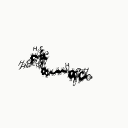 C=CCn1c(=O)c2cnc(Nc3ccc4c(c3)CN(CCCCCCNc3ccc5c(c3)C(=O)N(C3CCC(=O)NC3=O)C5=O)CC4)nc2n1-c1cccc(C(C)(C)O)n1